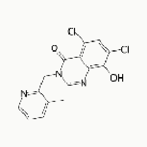 Cc1cccnc1Cn1cnc2c(O)c(Cl)cc(Cl)c2c1=O